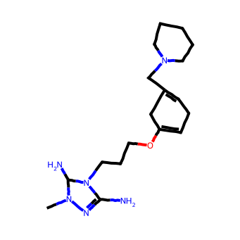 CN1N=C(N)N(CCCOC2=CCC=C(CN3CCCCC3)C2)C1N